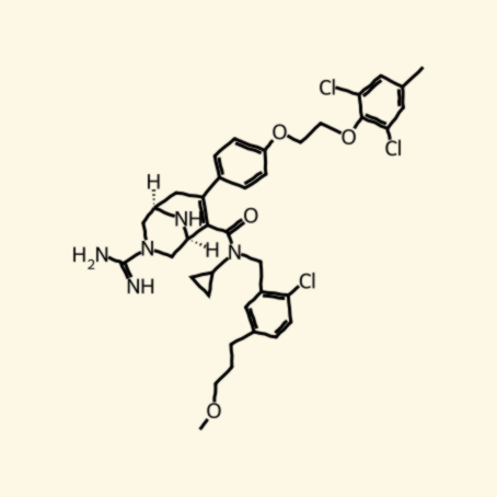 COCCCc1ccc(Cl)c(CN(C(=O)C2=C(c3ccc(OCCOc4c(Cl)cc(C)cc4Cl)cc3)C[C@@H]3CN(C(=N)N)C[C@H]2N3)C2CC2)c1